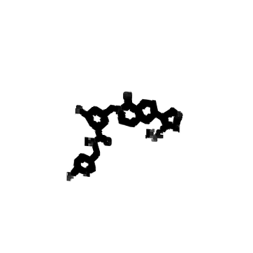 Cc1nocc1-c1ccc2c(=O)n(Cc3cc(F)cc(C(=O)NCc4ccc(F)nc4)c3)ccc2c1